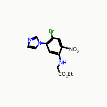 CCOC(=O)CNc1cc(-n2ccnc2)c(Br)cc1[N+](=O)[O-]